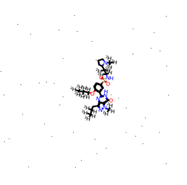 [2H]C([2H])([2H])N1CCCC1C([2H])([2H])C([2H])([2H])NS(=O)(=O)c1ccc(OC([2H])([2H])C([2H])([2H])C([2H])([2H])[2H])c(-c2nc3c(CC([2H])([2H])C([2H])([2H])[2H])nn(C([2H])([2H])[2H])c3c(=O)[nH]2)c1